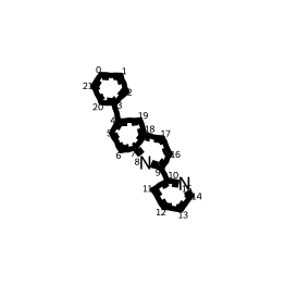 c1ccc(-c2ccc3nc(-c4ccccn4)ccc3c2)cc1